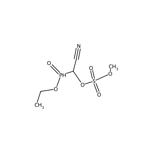 CCO[PH](=O)C(C#N)OS(=O)(=O)OC